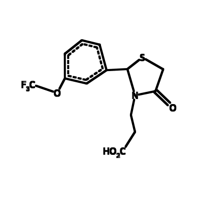 O=C(O)CCN1C(=O)CSC1c1cccc(OC(F)(F)F)c1